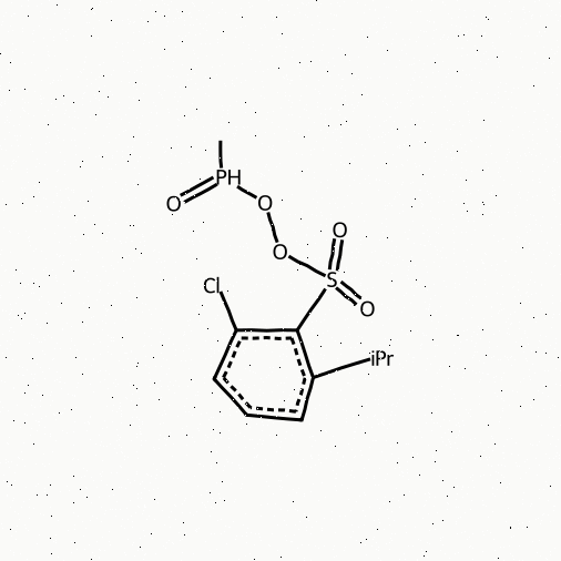 CC(C)c1cccc(Cl)c1S(=O)(=O)OO[PH](C)=O